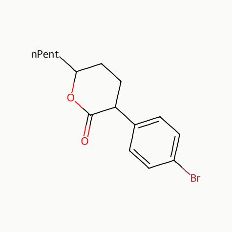 CCCCCC1CCC(c2ccc(Br)cc2)C(=O)O1